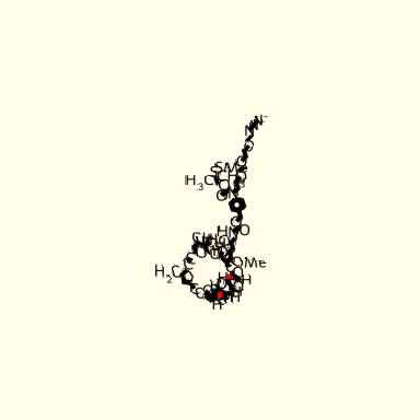 C=C1CC2CC[C@@]34C[C@H]5O[C@H]6[C@@H](O3)[C@H]3O[C@H](CC[C@@H]3O[C@H]6[C@H]5O4)CC(=O)CC3[C@@H](OC)C(C[C@H](O)CNC(=O)OCc4ccc(N(CCOCCOCCOCCN=[N+]=[N-])C(=O)OCC(C)(C)SSC)cc4)O[C@H]3CC3OC(CCC1O2)C[C@@H](C)C3=C